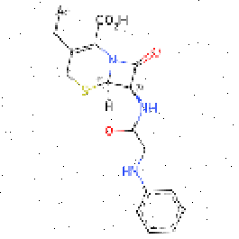 CC(=O)CC1=C(C(=O)O)N2C(=O)[C@@H](NC(=O)CNc3ccccc3)[C@H]2SC1